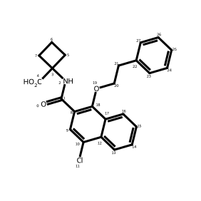 O=C(NC1(C(=O)O)CCC1)c1cc(Cl)c2ccccc2c1OCCc1ccccc1